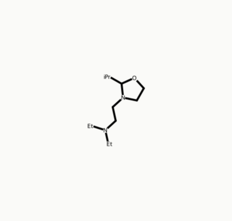 CCN(CC)CCN1CCOC1C(C)C